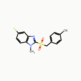 Cn1c(S(=O)(=O)Cc2ccc(C#N)cc2)nc2cc(F)ccc21